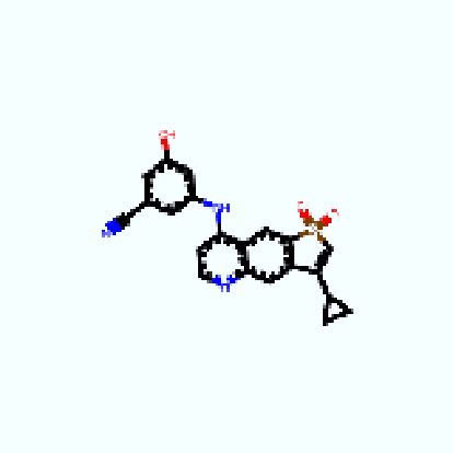 N#Cc1cc(O)cc(Nc2ccnc3cc4c(cc23)S(=O)(=O)C=C4C2CC2)c1